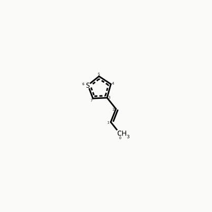 C/C=C/c1ccsc1